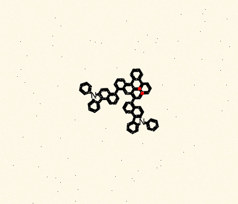 c1ccc(-c2ccccc2-c2c3cccc(-c4cccc5c4ccc4c5c5ccccc5n4-c4ccccc4)c3cc3c(-c4cccc5c4ccc4c5c5ccccc5n4-c4ccccc4)cccc23)cc1